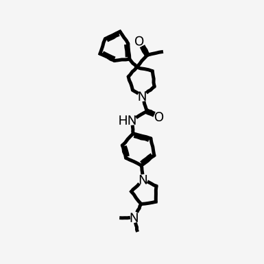 CC(=O)C1(c2ccccc2)CCN(C(=O)Nc2ccc(N3CCC(N(C)C)C3)cc2)CC1